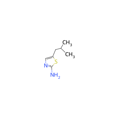 CC(C)Cc1cnc(N)s1